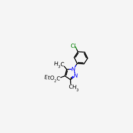 CCOC(=O)c1c(C)nn(-c2cccc(Cl)c2)c1C